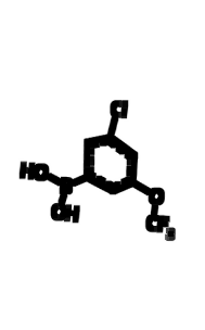 OB(O)c1cc(Cl)cc(OC(F)(F)F)c1